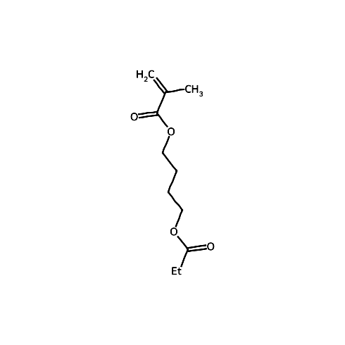 C=C(C)C(=O)OCCCCOC(=O)CC